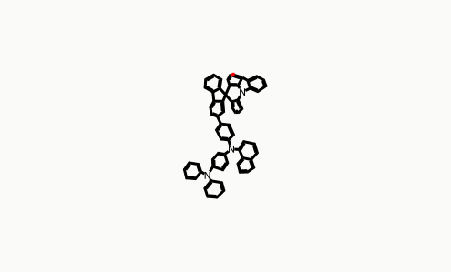 c1ccc(N(c2ccccc2)c2ccc(N(c3ccc(-c4ccc5c(c4)C4(c6ccccc6-5)c5ccccc5-n5c6ccccc6c6cccc4c65)cc3)c3cccc4ccccc34)cc2)cc1